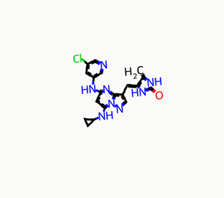 C=c1[nH]c(=O)[nH]/c1=C\c1cnn2c(NC3CC3)cc(Nc3cncc(Cl)c3)nc12